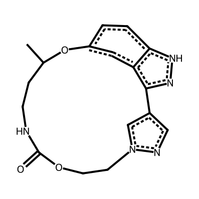 CC1CCNC(=O)OCCn2cc(cn2)-c2n[nH]c3ccc(cc23)O1